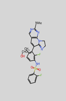 CNc1ncc2c(n1)N1CCN=C1C(c1c(C)ccc(NS(=O)(=O)c3ccccc3F)c1F)=C2.O=CO